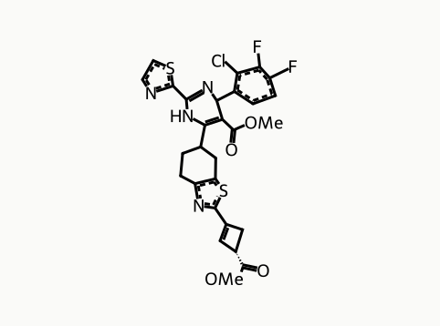 COC(=O)C1=C(C2CCc3nc(C4=C[C@@H](C(=O)OC)C4)sc3C2)NC(c2nccs2)=NC1c1ccc(F)c(F)c1Cl